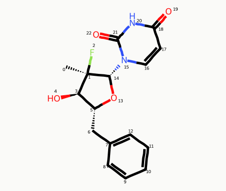 C[C@@]1(F)[C@H](O)[C@@H](Cc2[c]cccc2)O[C@H]1n1ccc(=O)[nH]c1=O